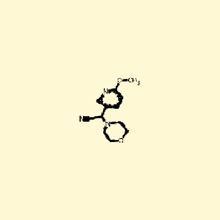 COc1ccc(C(C#N)N2CCOCC2)cn1